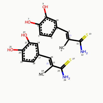 N#C/C(=C\c1ccc(O)c(O)c1)C(N)=S.N#C/C(=C\c1ccc(O)c(O)c1)C(N)=S